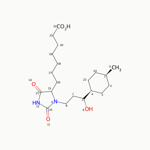 C[C@H]1CC[C@@H](C(O)CCN2C(=O)NC(=O)C2CCCCCCC(=O)O)CC1